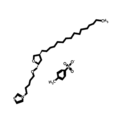 CCCCCCCCCCCCCCCC[C@@H]1CO[C@@H](COCCCCC[n+]2ccsc2)C1.Cc1ccc(S(=O)(=O)[O-])cc1